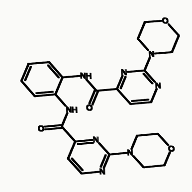 O=C(Nc1ccccc1NC(=O)c1ccnc(N2CCOCC2)n1)c1ccnc(N2CCOCC2)n1